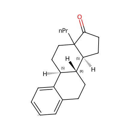 CCCC12CC[C@@H]3c4cc[c]cc4CC[C@H]3[C@@H]1CCC2=O